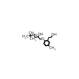 Cc1ccc(OCC(O)CNC(C)(C)C)c(CCO)c1